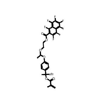 C=C(C)C(=O)OC(C)(CCC)c1ccc(OC(C)OCCOC(=O)c2c(F)c(F)c3c(F)c(F)c(F)c(F)c3c2F)cc1